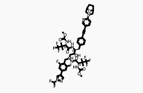 COC(=O)N[C@H](C(=O)N[C@@H](Cc1ccc(C#Cc2ccc(N3CC4CCC(C3)O4)nc2)cc1)[C@@H](O)CN(Cc1c(F)cc(-c2cnn(C(F)F)c2)cc1F)NC(=O)[C@@H](NC(=O)OC)C(C)(C)C(F)(F)F)C(C)(C)C(F)(F)F